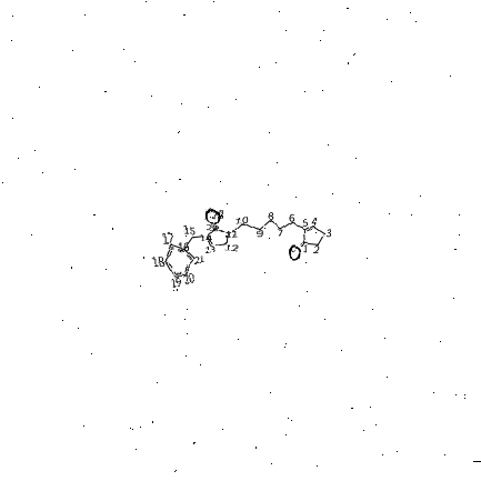 O=C1CCC=C1CCCCCC1CC=C(Cc2ccccc2)C1=O